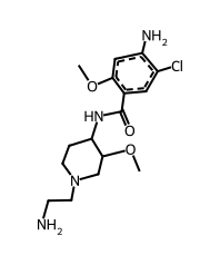 COc1cc(N)c(Cl)cc1C(=O)NC1CCN(CCN)CC1OC